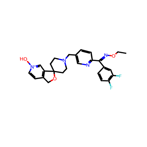 CCO/N=C(\c1ccc(F)c(F)c1)c1ccc(CN2CCC3(CC2)OCc2cc[n+](O)cc23)cn1